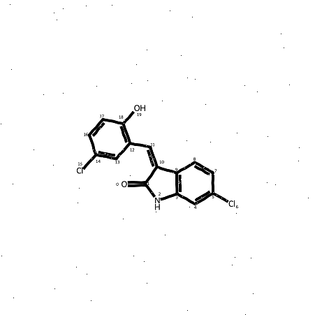 O=C1Nc2cc(Cl)ccc2C1=Cc1cc(Cl)ccc1O